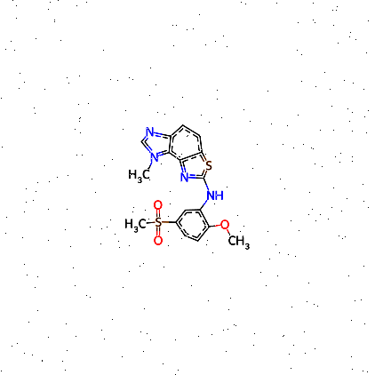 COc1ccc(S(C)(=O)=O)cc1Nc1nc2c(ccc3ncn(C)c32)s1